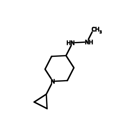 CNNC1CCN(C2CC2)CC1